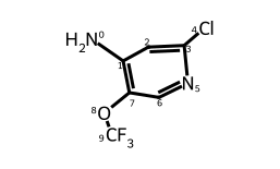 Nc1cc(Cl)ncc1OC(F)(F)F